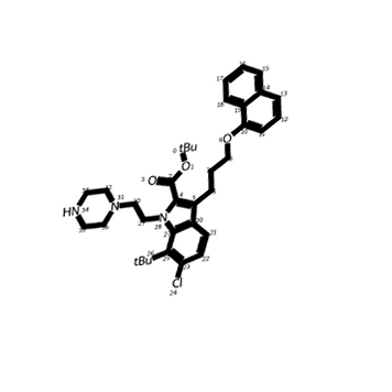 CC(C)(C)OC(=O)c1c(CCCOc2cccc3ccccc23)c2ccc(Cl)c(C(C)(C)C)c2n1CCN1CCNCC1